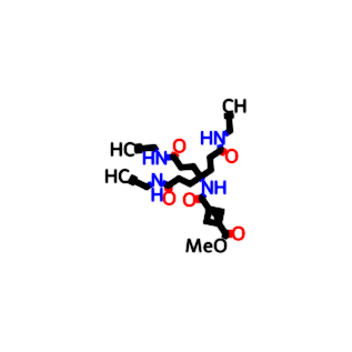 C#CCNC(=O)CCC(CCC(=O)NCC#C)(CCC(=O)NCC#C)NC(=O)C12CC(C(=O)OC)(C1)C2